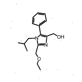 CCOCc1nc(CO)c(-c2ccccc2)n1CC(C)C